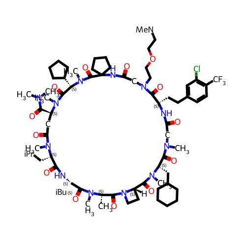 CC[C@H](C)[C@@H]1NC(=O)[C@H](CC(C)C)N(C)C(=O)C[C@@H](C(=O)N(C)C)N(C)C(=O)[C@H](C2CCCC2)N(C)C(=O)C2(CCCC2)NC(=O)CN(CCOCCNC)C(=O)[C@H](CCc2ccc(C(F)(F)F)c(Cl)c2)NC(=O)CN(C)C(=O)[C@H](CC2CCCCC2)N(C)C(=O)[C@@H]2CCN2C(=O)[C@H](C)N(C)C1=O